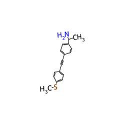 CSc1ccc(C#Cc2ccc(C(C)N)cc2)cc1